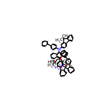 CC(C)C(C)(C)CC(c1ccccc1-c1ccc2c(c1)C1(c3ccccc3-2)c2ccccc2-c2ccc(-c3c4ccccc4c(N(c4ccc(-c5ccccc5)cc4)c4ccc5c(c4)C(C)(C)c4ccccc4-5)c4ccccc34)cc21)C(C)(C)C(C)N